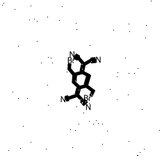 N#CC(C#N)=c1cc(CBr)c(=C(C#N)C#N)cc1CBr